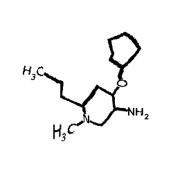 CCCC1CC(OC2CCCC2)C(N)CN1C